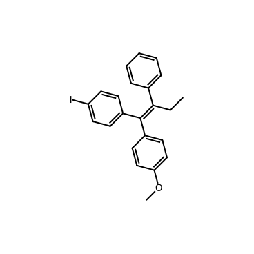 CCC(=C(c1ccc(I)cc1)c1ccc(OC)cc1)c1ccccc1